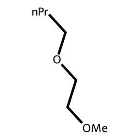 [CH2]CCCOCCOC